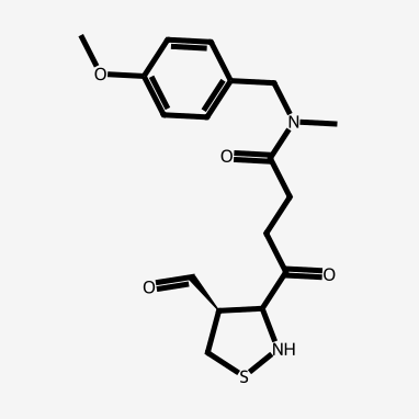 COc1ccc(CN(C)C(=O)CCC(=O)C2NSC[C@H]2C=O)cc1